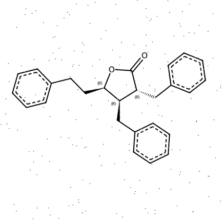 O=C1O[C@H](CCc2ccccc2)[C@H](Cc2ccccc2)[C@H]1Cc1ccccc1